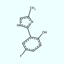 Cc1c[nH]c(-c2cc(F)ccc2O)n1